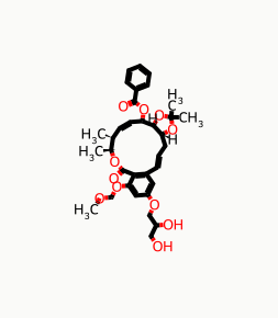 COCOc1cc(OCC(O)CO)cc2c1C(=O)O[C@@H](C)[C@H](C)/C=C\C(OC(=O)c1ccccc1)[C@H]1OC(C)(C)O[C@H]1C/C=C/2